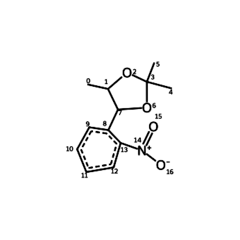 CC1OC(C)(C)OC1c1ccccc1[N+](=O)[O-]